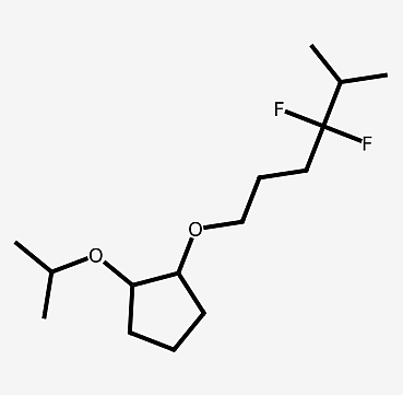 CC(C)OC1CCCC1OCCCC(F)(F)C(C)C